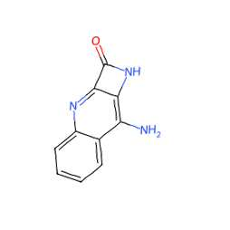 Nc1c2c(nc3ccccc13)C(=O)N2